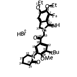 Br.CCOc1cc2c(c(F)c1OCC)C(=N)N(CC(=O)c1cc(N3CCCCC3=O)c(OC)c(C(C)(C)C)c1)C2